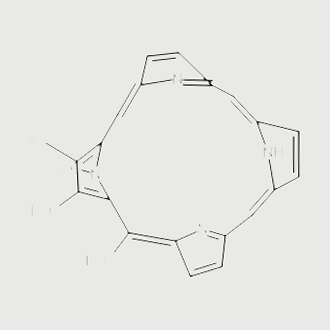 Cc1c2nc(cc3ccc(cc4nc(cc5[c]([Pt])c(C)c1n5C)C=C4)[nH]3)C=C2